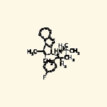 CC1=C(C)C(S(C)(NC(C)(C)C)c2ccc(F)cc2)c2sc3ccccc3c21